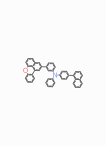 c1ccc(N(c2ccc(-c3cccc4ccccc34)cc2)c2cccc(-c3cc4c5c(cccc5c3)Oc3ccccc3-4)c2)cc1